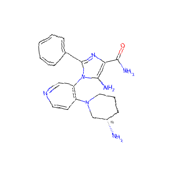 NC(=O)c1nc(-c2ccccc2)n(-c2cnccc2N2CCC[C@H](N)C2)c1N